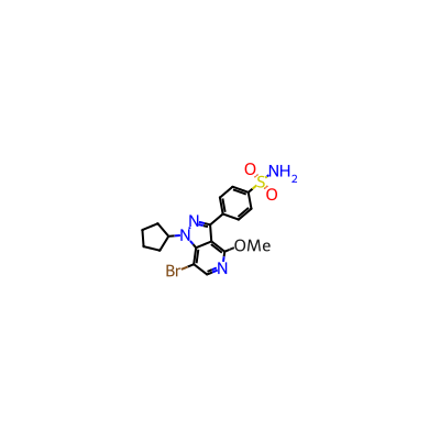 COc1ncc(Br)c2c1c(-c1ccc(S(N)(=O)=O)cc1)nn2C1CCCC1